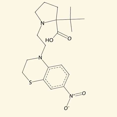 CC(C)(C)C1(C(=O)O)CCCN1CCN1CCSc2cc([N+](=O)[O-])ccc21